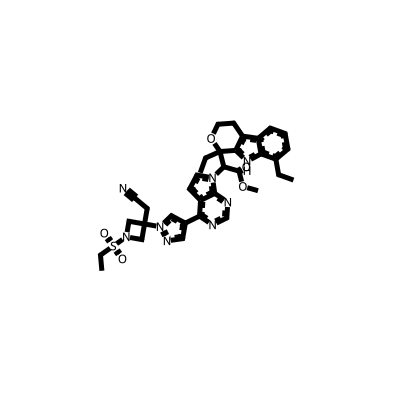 CCc1cccc2c3c([nH]c12)C(CC)(C(C(=O)OC)n1ccc2c(-c4cnn(C5(CC#N)CN(S(=O)(=O)CC)C5)c4)ncnc21)OCC3